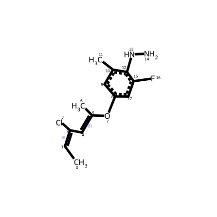 C/C=C(Cl)\C=C(/C)Oc1cc(C)c(NN)c(F)c1